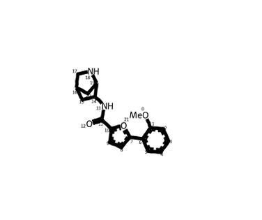 COc1ccccc1-c1ccc(C(=O)NC2CC3CNC2C3)o1